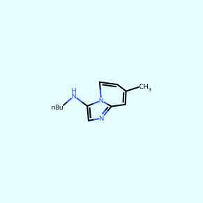 CCCCNc1cnc2cc(C)ccn12